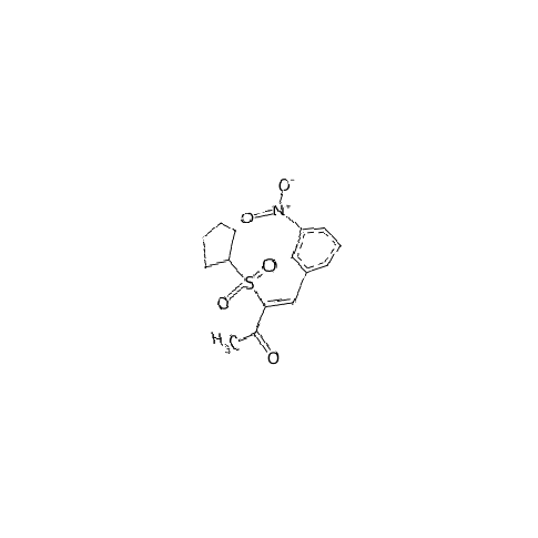 CC(=O)C(=Cc1cccc([N+](=O)[O-])c1)S(=O)(=O)C1CCCC1